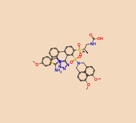 COc1ccc(CN(Cc2ccc(OC)cc2)S(=O)(=O)c2c(S(=O)(=O)[C@H](C)CNC(=O)O)ccc(-c3cccc4sc(N)nc34)c2-c2nnnn2Cc2ccc(OC)cc2)cc1